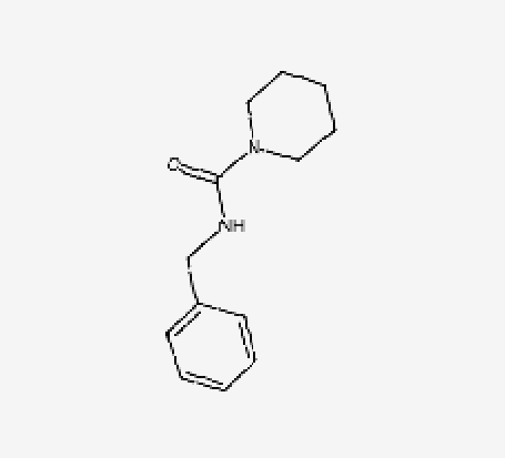 O=C(NCc1ccccc1)N1CCCCC1